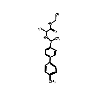 CCC[C@H](N[C@H](c1ccc(-c2ccc(C)cc2)cc1)C(F)(F)F)C(=O)NCC#N